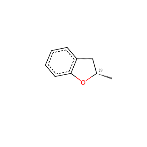 C[C@H]1Cc2ccccc2O1